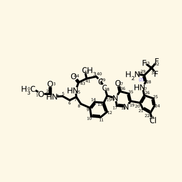 COC(=O)NCCC1Cc2cccc(c2)C(n2cnc(-c3cc(Cl)ccc3N/C=C(\N)C(F)(F)F)cc2=O)CCCC(C)C(=O)N1